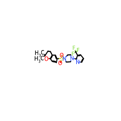 CC1(C)CCc2cc(S(=O)(=O)N3CCN(c4ncccc4C(F)(F)F)CC3)ccc2O1